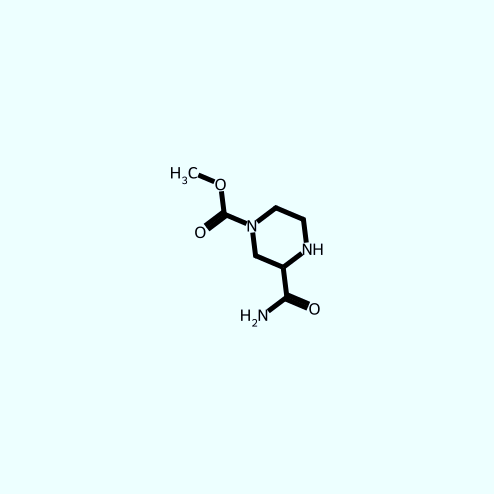 COC(=O)N1CCNC(C(N)=O)C1